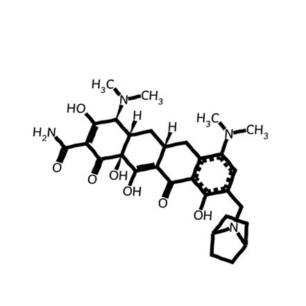 CN(C)c1cc(CN2C3CCC2CC3)c(O)c2c1C[C@H]1C[C@H]3[C@H](N(C)C)C(O)=C(C(N)=O)C(=O)[C@@]3(O)C(O)=C1C2=O